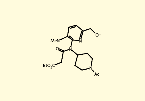 CCOC(=O)CC(=O)N(c1nc(CO)ccc1NC)C1CCN(C(C)=O)CC1